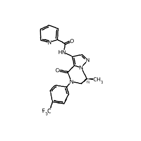 C[C@H]1CN(c2ccc(C(F)(F)F)cc2)C(=O)c2c(NC(=O)c3ccccn3)cnn21